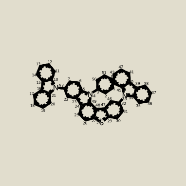 c1ccc(-n2c3ccc(-n4c5ccccc5c5ccccc54)cc3c3ccc4sc5ccc(-n6c7ccccc7c7ccccc76)cc5c4c32)cc1